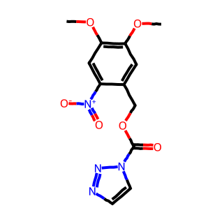 COc1cc(COC(=O)n2ccnn2)c([N+](=O)[O-])cc1OC